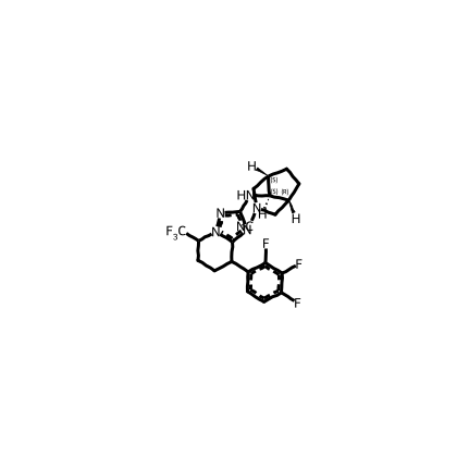 N#CN1C[C@H]2CC[C@@H](C1)[C@@H]2Nc1nc2n(n1)C(C(F)(F)F)CCC2c1ccc(F)c(F)c1F